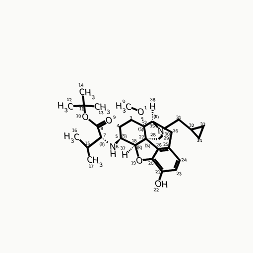 CO[C@@]12CC[C@H](N[C@@H](C(=O)OC(C)(C)C)C(C)C)[C@@H]3Oc4c(O)ccc5c4[C@@]31CCN(CC1CC1)[C@@H]2C5